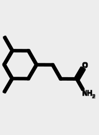 CC1CC(C)CC(CCC(N)=O)C1